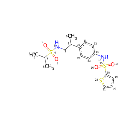 CC(CNS(=O)(=O)C(C)C)c1ccc(NS(=O)(=O)c2cccs2)cc1